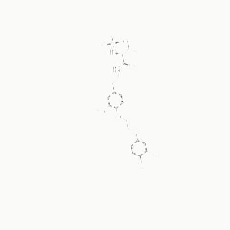 COc1cc(CCNC(=O)[C@@H](NS(C)(=O)=O)C(C)C)ccc1OCCOc1ccc(Cl)c(Cl)c1